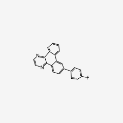 Fc1ccc(-c2ccc3c(c2)c2ccccc2c2nccnc32)cc1